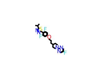 CC(C)c1nnc(-c2c(F)cc(OCCCC3CCN(c4ncc(F)cn4)CC3)cc2F)s1